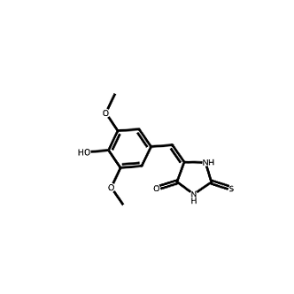 COc1cc(C=C2NC(=S)NC2=O)cc(OC)c1O